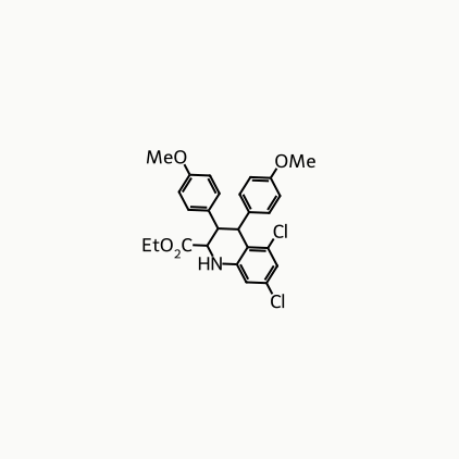 CCOC(=O)C1Nc2cc(Cl)cc(Cl)c2C(c2ccc(OC)cc2)C1c1ccc(OC)cc1